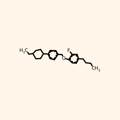 CCCCc1ccc(OCc2ccc(C3CCC(CC)CC3)cc2)c(F)c1